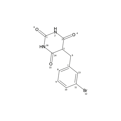 O=C1NC(=O)C(Cc2cccc(Br)c2)C(=O)N1